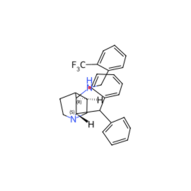 FC(F)(F)c1ccccc1CN[C@@H]1C2CCN(CC2)[C@H]1C(c1ccccc1)c1ccccc1